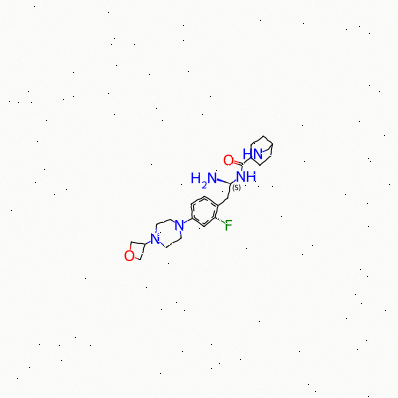 N[C@H](Cc1ccc(N2CCN(C3COC3)CC2)cc1F)NC(=O)C12CCC(CC1)CN2